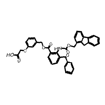 O=C(O)COc1cccc(COC(=O)c2cccc(C(=O)c3ccccc3)c2NC(=O)OCc2cccc3c2Cc2ccccc2-3)c1